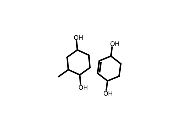 CC1CC(O)CCC1O.OC1C=CC(O)CC1